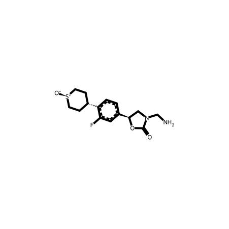 NCN1C[C@H](c2ccc([C@H]3CC[S@+]([O-])CC3)c(F)c2)OC1=O